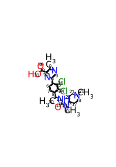 Cc1ncc(-c2ccc(C(C)NC(=O)N(C)C3CCN(C)CC3)c(Cl)c2Cl)nc1C(=O)O